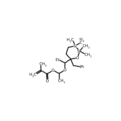 C=C(C)C(=O)OC(C)OC(CC)C1(CC(C)C)CC[Si](C)(C)[Si](C)(C)O1